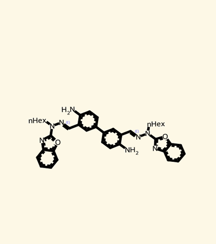 CCCCCCN(/N=C/c1cc(-c2ccc(N)c(/C=N/N(CCCCCC)c3nc4ccccc4o3)c2)ccc1N)c1nc2ccccc2o1